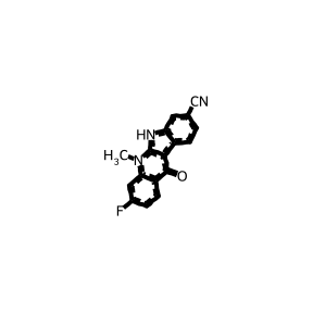 Cn1c2cc(F)ccc2c(=O)c2c3ccc(C#N)cc3[nH]c21